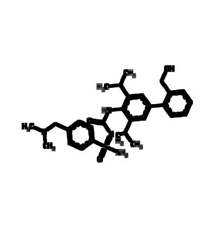 CC(C)c1cc(-c2ccccc2CO)cc(C(C)C)c1NC(=O)N=S(N)(=O)c1ccc(CN(C)C)cc1